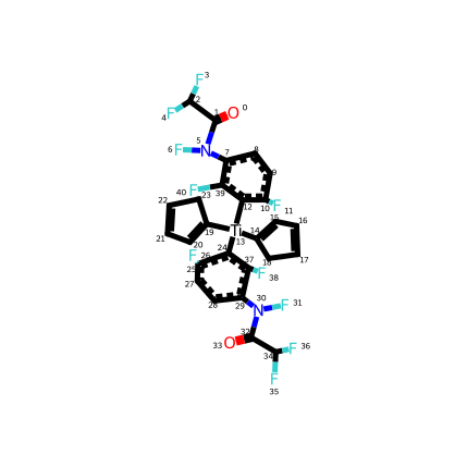 O=C(C(F)F)N(F)c1ccc(F)[c]([Ti]([C]2=CC=CC2)([C]2=CC=CC2)[c]2c(F)ccc(N(F)C(=O)C(F)F)c2F)c1F